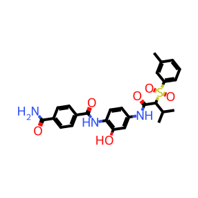 Cc1cccc(S(=O)(=O)C(C(=O)Nc2ccc(NC(=O)c3ccc(C(N)=O)cc3)c(O)c2)C(C)C)c1